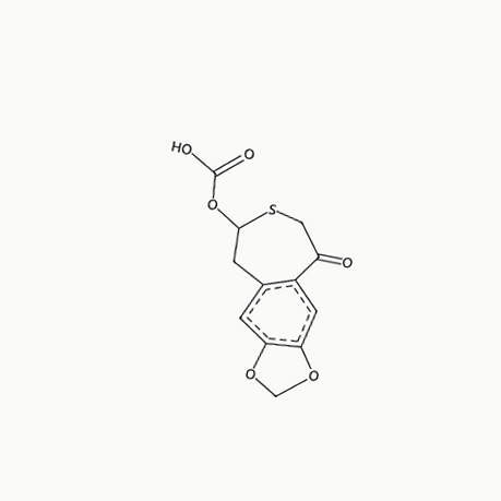 O=C(O)OC1Cc2cc3c(cc2C(=O)CS1)OCO3